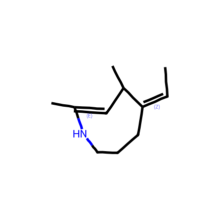 C/C=C1/CCCN/C(C)=C/C1C